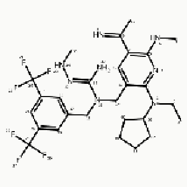 CCN(c1nc(NC)c(C(C)=N)cc1CN(Cc1cc(C(F)(F)F)cc(C(F)(F)F)c1)/C(N)=N/NC)C1CCCC1